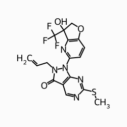 C=CCn1c(=O)c2cnc(SC)nc2n1-c1ccc2c(n1)C(O)(C(F)(F)F)CO2